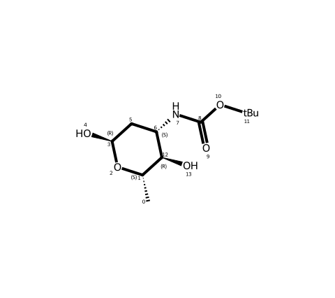 C[C@@H]1O[C@@H](O)C[C@H](NC(=O)OC(C)(C)C)[C@H]1O